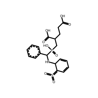 O=C(O)CCC(CP(=O)(O)C(NC1C=CC=CC1=S(=O)=O)c1ccccc1)C(=O)O